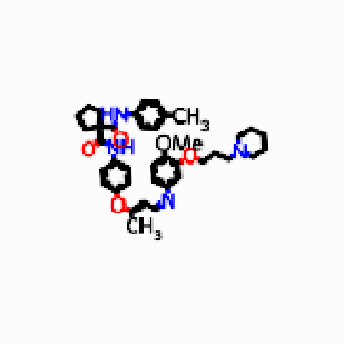 COc1ccc(/N=C\C=C(/C)Oc2ccc(NC(=O)C3(C(=O)Nc4ccc(C)cc4)CCCC3)cc2)cc1OCCCN1CCCCC1